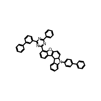 C1=CC2C(c3ccccc3N2c2ccc(-c3ccccc3)cc2)c2c1oc1c(-c3nc(-c4ccccc4)nc(-c4cccc(-c5ccccc5)c4)n3)cccc21